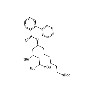 CCCCCCCCCCCCCCCCC(CC(CC(CCCC)C(C)(C)C)C(C)(C)C)OC(=O)c1ccccc1-c1ccccc1